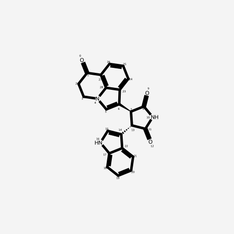 O=C1CCn2cc([C@H]3C(=O)NC(=O)[C@@H]3c3c[nH]c4ccccc34)c3cccc1c32